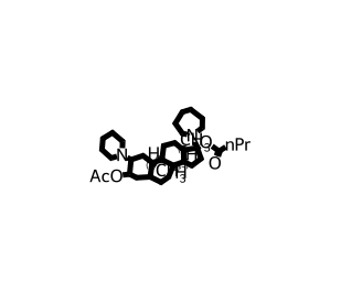 CCCC(=O)OC1(N2CCCCCC2)CC[C@H]2[C@@H]3CCC4CC(OC(C)=O)C(N5CCCCC5)C[C@]4(C)[C@@H]3CC[C@@]21C